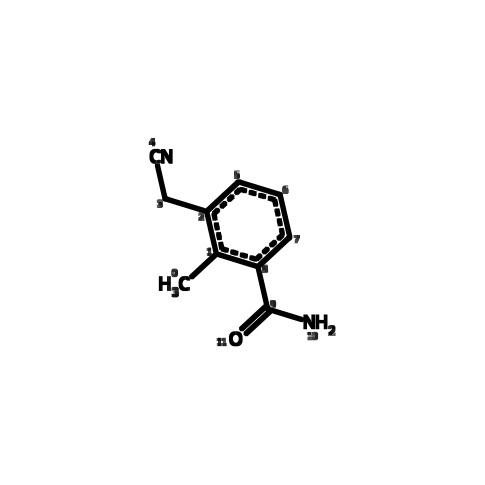 Cc1c(CC#N)cccc1C(N)=O